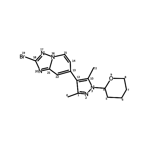 Cc1nn(C2CCCCO2)c(C)c1-c1ccn2nc(Br)nc2c1